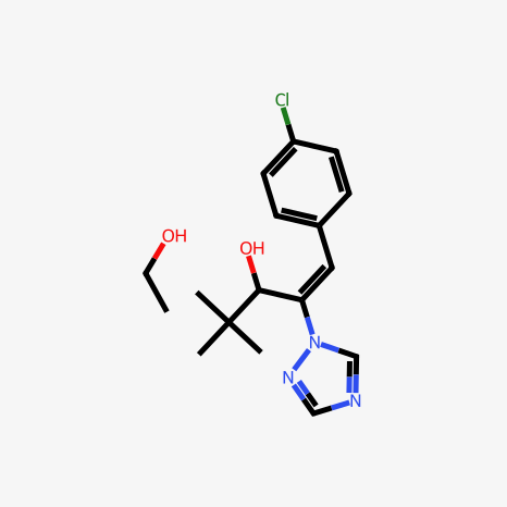 CC(C)(C)C(O)/C(=C\c1ccc(Cl)cc1)n1cncn1.CCO